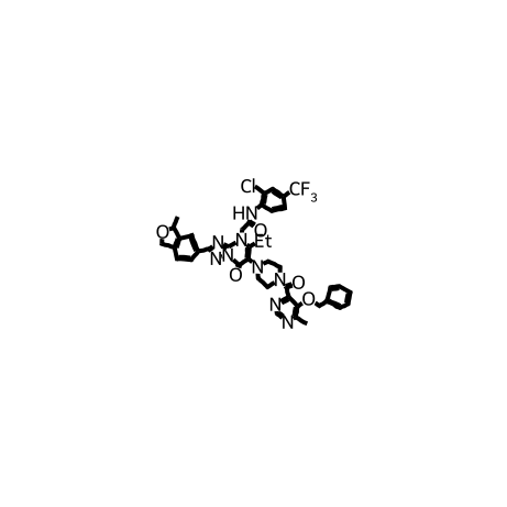 CCc1c(N2CCN(C(=O)c3ncnc(C)c3OCc3ccccc3)CC2)c(=O)n2nc(-c3ccc4c(c3)C(C)OC4)nc2n1CC(=O)Nc1ccc(C(F)(F)F)cc1Cl